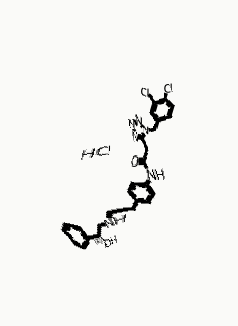 Cl.O=C(Cc1nnnn1Cc1ccc(Cl)c(Cl)c1)Nc1ccc(CCNC[C@H](O)c2ccccc2)cc1